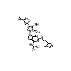 CCC(CC)Nc1nc(NCCc2cncn2C)nc2c1ncn2[C@@H]1O[C@@H](c2nc(C3CC3)no2)[C@H](O)[C@H]1O